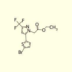 CCOC(=O)Cn1nc(C(F)(F)F)cc1-c1ccc(Br)s1